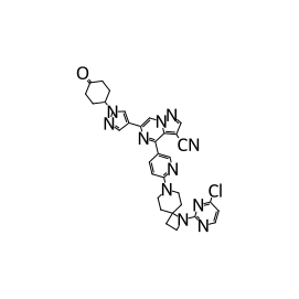 N#Cc1cnn2cc(-c3cnn(C4CCC(=O)CC4)c3)nc(-c3ccc(N4CCC5(CC4)CCN5c4nccc(Cl)n4)nc3)c12